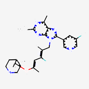 CC/C(Cn1c(-c2cncc(F)c2)nc2c(C)nc(OC)nc21)=C(F)\C=C(/C)O[C@H]1CN2CCC1CC2